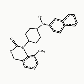 COc1cccc2c1N(C1CCN([S+]([O-])c3ccc4ccccc4c3)CC1)C(=O)OC2